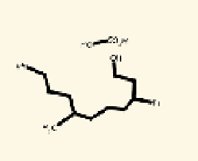 CCC(CCO)CCCC(C)CCCC(C)C.O=S(=O)(O)O